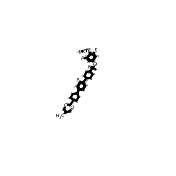 CC1COC(C2CCC(c3ccc(C4CCC(C(F)(F)Oc5cc(F)c(N=C=S)c(F)c5)CC4)c(F)c3)CC2)OC1